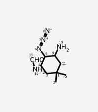 CC1(C)CCC(N=[N+]=[N-])C(N)C1.NC=O